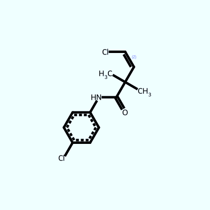 CC(C)(/C=C\Cl)C(=O)Nc1ccc(Cl)cc1